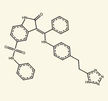 O=C1Nc2ccc(S(=O)(=O)Nc3ccccc3)cc2C1=C(Nc1ccc(CCc2nnn[nH]2)cc1)c1ccccc1